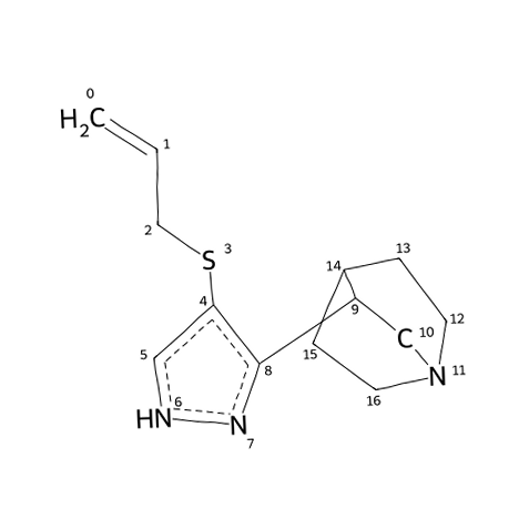 C=CCSc1c[nH]nc1C1CN2CCC1CC2